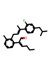 CCC/C=C(\C=O)c1cccc(C)c1C/C=C(\C)c1ccc(CC(C)C)cc1F